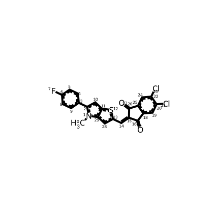 Cn1c(-c2ccc(F)cc2)cc2sc(C=C3C(=O)c4cc(Cl)c(Cl)cc4C3=O)cc21